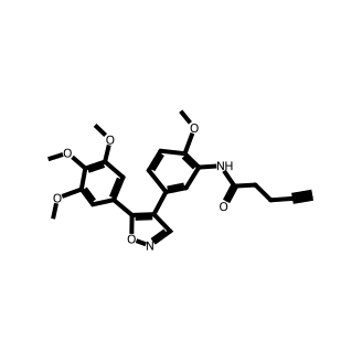 C#CCCC(=O)Nc1cc(-c2cnoc2-c2cc(OC)c(OC)c(OC)c2)ccc1OC